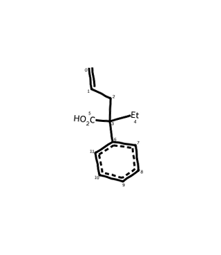 C=CCC(CC)(C(=O)O)c1ccccc1